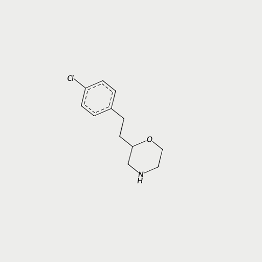 Clc1ccc(CCC2CNCCO2)cc1